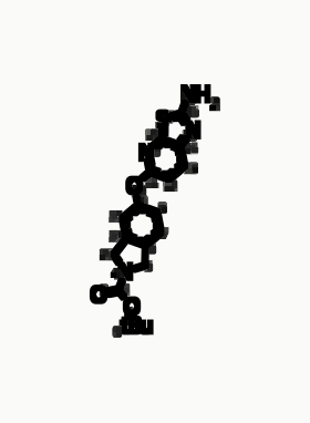 CC(C)(C)OC(=O)N1Cc2ccc(Oc3ccc4nc(N)sc4n3)cc2C1